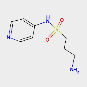 NCCCS(=O)(=O)Nc1ccncc1